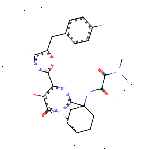 CN(C)C(=O)C(=O)NC12CCC(CC1)Cn1c2nc(-c2ncc(Cc3ccc(F)cc3)o2)c(O)c1=O